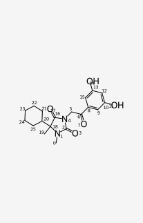 CN1C(=O)N(CC(=O)c2cc(O)cc(O)c2)C(=O)C1(C)C1CCCCC1